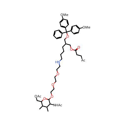 COc1ccc(C(OCC(CCCCNCCOCCOCCOC2OC(COC(C)=O)C(C)C(C)C2NC(C)=O)COC(=O)CCC(C)=O)(c2ccccc2)c2ccc(OC)cc2)cc1